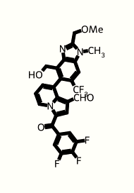 COCc1nc2c(CO)c(-c3cccn4c(C(=O)c5cc(F)c(F)c(F)c5)cc(C=O)c34)c(C(F)(F)F)cc2n1C